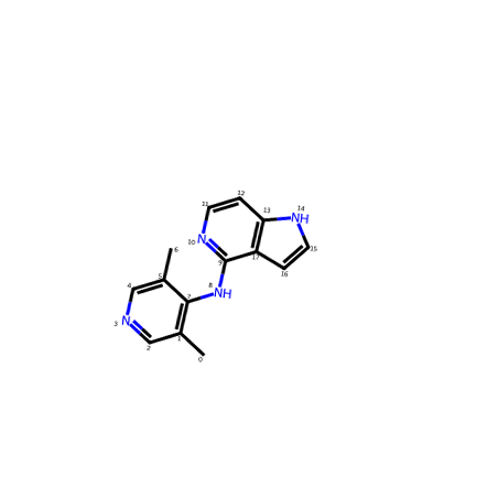 Cc1cncc(C)c1Nc1nccc2[nH]ccc12